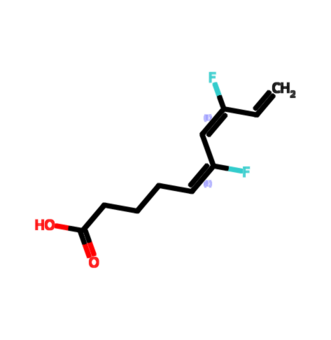 C=C/C(F)=C\C(F)=C/CCCC(=O)O